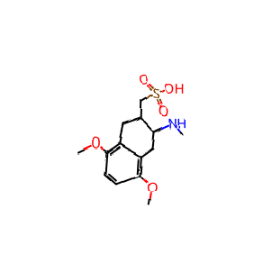 CNC1Cc2c(OC)ccc(OC)c2CC1CS(=O)(=O)O